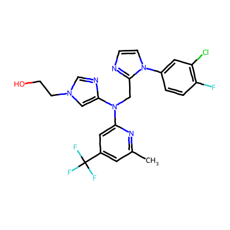 Cc1cc(C(F)(F)F)cc(N(Cc2nccn2-c2ccc(F)c(Cl)c2)c2cn(CCO)cn2)n1